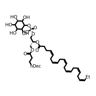 CC/C=C\C/C=C\C/C=C\C/C=C\C/C=C\C/C=C\CCC(=O)O[C@H](COC(=O)CCCCCCCCCCCC)COP(=O)(O)OC1C(O)C(O)C(O)[C@@H](O)C1O